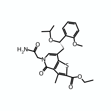 CCOC(=O)c1sc2c(C[C@H](OC(C)C)c3ccccc3OC)cn(CC(N)=O)c(=O)c2c1C